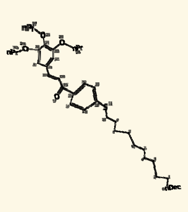 CCCCCCCCCCCCCCCCCCCCSc1ccc(C(=O)C=Cc2cc(OCCC)c(OCCC)c(OCCC)c2)cc1